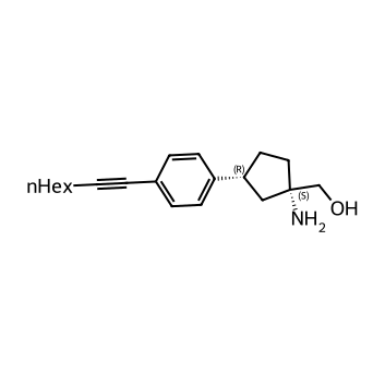 CCCCCCC#Cc1ccc([C@@H]2CC[C@@](N)(CO)C2)cc1